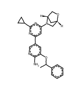 CC(Oc1cc(-c2cc(N3C[C@@H]4C[C@H]3CO4)nc(C3CC3)n2)cnc1N)c1ccccc1